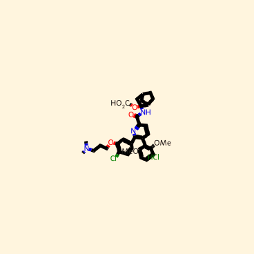 COc1cccc(OC)c1-c1ccc(C(=O)NC2(OC(=O)O)CC3CCC2C3)nc1-c1ccc(Cl)c(OCCCN(C)C)c1.Cl